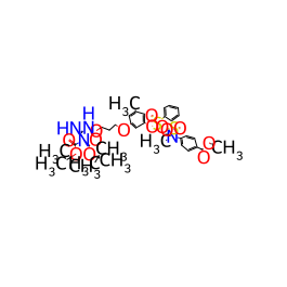 COC(=O)c1ccc(N(C)S(=O)(=O)c2ccccc2S(=O)(=O)Oc2cc(C)cc(OCCCONC(=N)N(C(=O)OC(C)(C)C)C(=O)OC(C)(C)C)c2)cc1